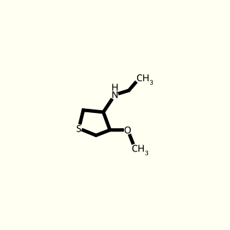 CCNC1CSCC1OC